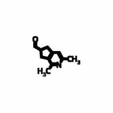 Cc1cc2c(c(C)n1)CC(C=O)C2